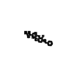 NC(=O)c1cnc([CH]c2cccc(OCc3ccccc3)c2F)c(Cl)n1